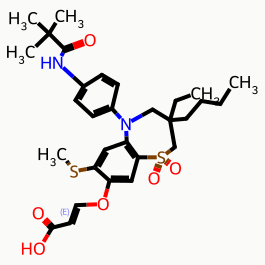 CCCCC1(CC)CN(c2ccc(NC(=O)C(C)(C)C)cc2)c2cc(SC)c(O/C=C/C(=O)O)cc2S(=O)(=O)C1